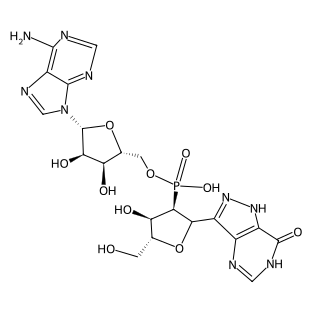 Nc1ncnc2c1ncn2[C@@H]1O[C@H](COP(=O)(O)[C@H]2C(c3n[nH]c4c(=O)[nH]cnc34)O[C@H](CO)[C@H]2O)[C@@H](O)[C@H]1O